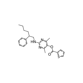 CCCCC(CNc1nc(C)c(OC(=O)c2cccs2)c(C)n1)c1ccccc1